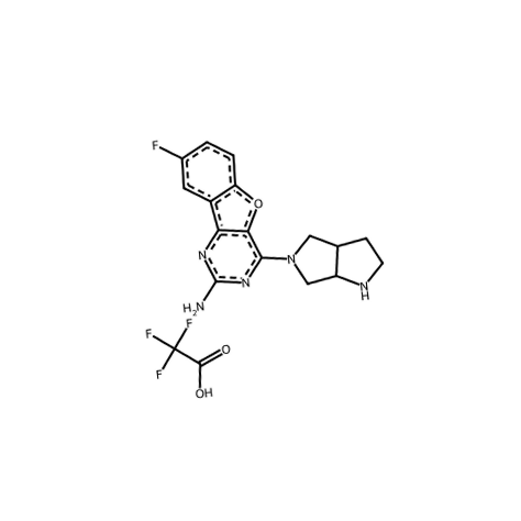 Nc1nc(N2CC3CCNC3C2)c2oc3ccc(F)cc3c2n1.O=C(O)C(F)(F)F